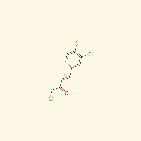 O=C(/C=C/c1ccc(Cl)c(Cl)c1)CCl